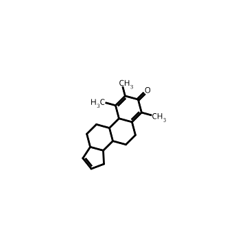 CC1=C(C)C2C(=C(C)C1=O)CCC1C3CC=CC3CCC21